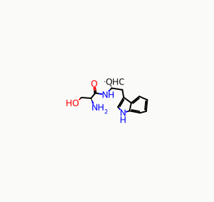 N[C@@H](CO)C(=O)N[C@H]([C]=O)Cc1c[nH]c2ccccc12